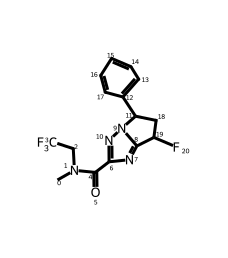 CN(CC(F)(F)F)C(=O)c1nc2n(n1)C(c1ccccc1)CC2F